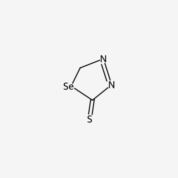 S=C1N=NC[Se]1